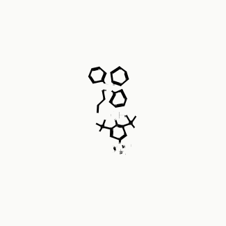 CC(C)(C)c1cc(S(=O)(=O)[O-])cc(C(C)(C)C)c1O.CCCC[P+](c1ccccc1)(c1ccccc1)c1ccccc1